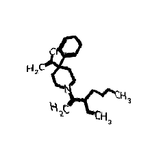 C=C(C(CC)CCCC)N1CCC(C(=C)C)(C2=CCCC=C2)CC1